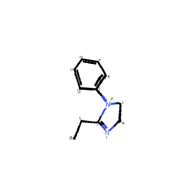 CCC1=NCCN1c1ccccc1